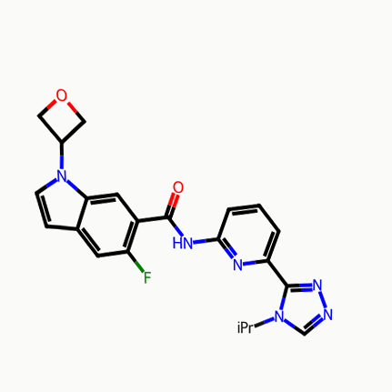 CC(C)n1cnnc1-c1cccc(NC(=O)c2cc3c(ccn3C3COC3)cc2F)n1